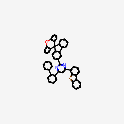 c1ccc(-c2ccccc2-c2cc(-c3cccc4c3sc3ccccc34)nc(-c3ccc4c(c3)-c3ccccc3C43c4ccccc4Oc4ccccc43)n2)cc1